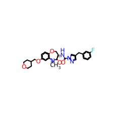 CN1C(=O)[C@@H](NC(=O)n2cc(Cc3cccc(F)c3)cn2)COc2ccc(OCC3CCOCC3)cc21